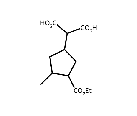 CCOC(=O)C1CC(C(C(=O)O)C(=O)O)CC1C